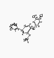 CNCc1cc(-c2conn2)ccc1Oc1ccc(Cl)c(Cl)c1